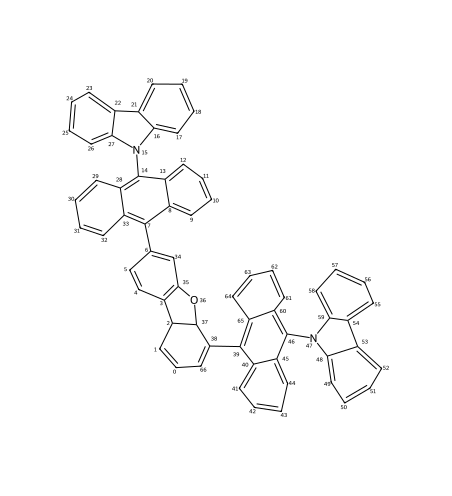 C1=CC2c3ccc(-c4c5ccccc5c(-n5c6ccccc6c6ccccc65)c5ccccc45)cc3OC2C(c2c3ccccc3c(-n3c4ccccc4c4ccccc43)c3ccccc23)=C1